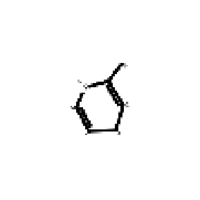 CC1=CCC=CS1